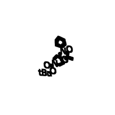 C=C1OC2(CCN(C(=O)OC(C)(C)C)CC2)CN(c2ccccc2)C1=O